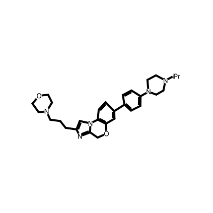 CC(C)N1CCN(c2ccc(-c3ccc4c(c3)OCc3nc(CCCN5CCOCC5)cn3-4)cc2)CC1